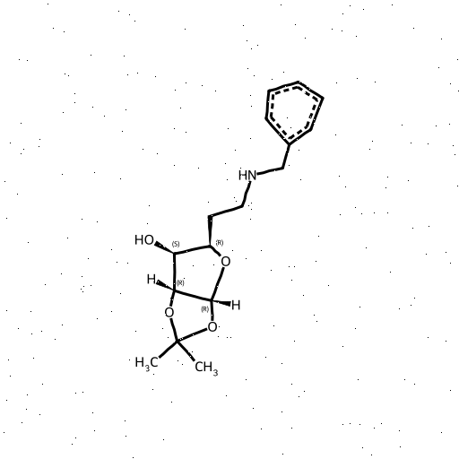 CC1(C)O[C@H]2O[C@H](CCNCc3ccccc3)[C@H](O)[C@H]2O1